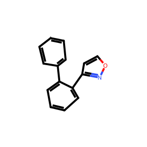 [c]1ccc(-c2ccccc2-c2ccon2)cc1